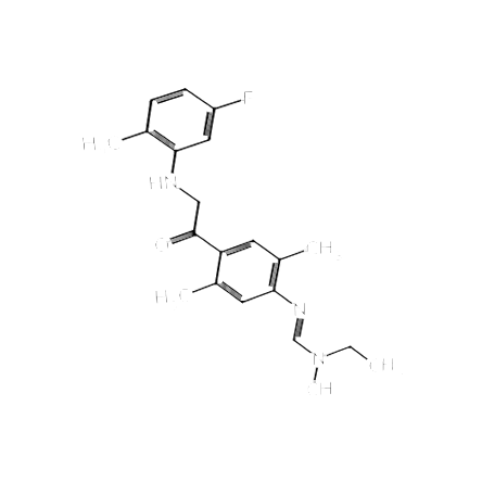 CCN(C)C=Nc1cc(C)c(C(=O)CNc2cc(F)ccc2C)cc1C